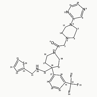 O=C(CN1CCN(c2cnccn2)CC1)N1CCC(CNCc2cccs2)(c2cccc(C(F)(F)F)c2)CC1